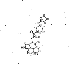 O=C(N1CCC(c2ccnc3cnc4[nH]ccc4c23)CC1)N1CCCC(CN2CCCC2)C1